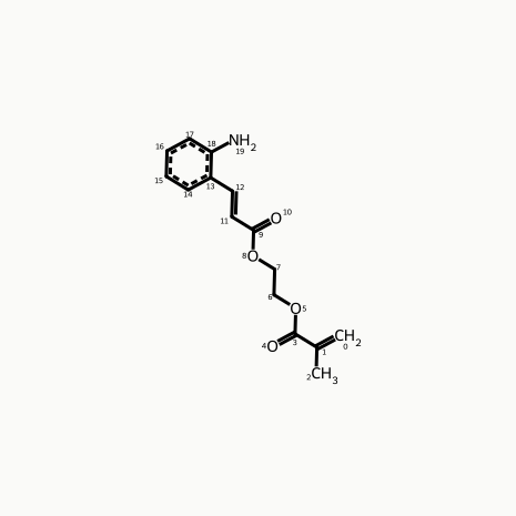 C=C(C)C(=O)OCCOC(=O)/C=C/c1ccccc1N